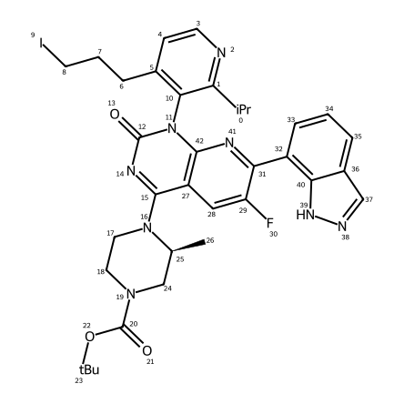 CC(C)c1nccc(CCCI)c1-n1c(=O)nc(N2CCN(C(=O)OC(C)(C)C)C[C@@H]2C)c2cc(F)c(-c3cccc4cn[nH]c34)nc21